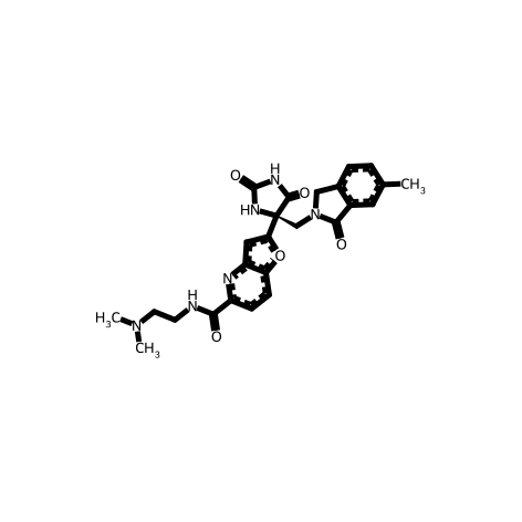 Cc1ccc2c(c1)C(=O)N(C[C@@]1(c3cc4nc(C(=O)NCCN(C)C)ccc4o3)NC(=O)NC1=O)C2